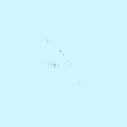 CN1CCNCC1.COCC[O][AlH][O]CCOC.[NaH]